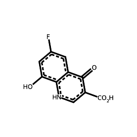 O=C(O)c1c[nH]c2c(O)cc(F)cc2c1=O